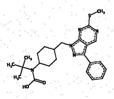 CSc1ncc2c(-c3ccccc3)nn(CC3CCC(N(C(=O)O)C(C)(C)C)CC3)c2n1